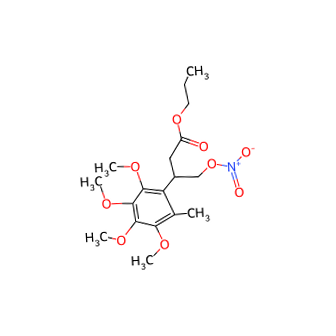 CCCOC(=O)CC(CO[N+](=O)[O-])c1c(C)c(OC)c(OC)c(OC)c1OC